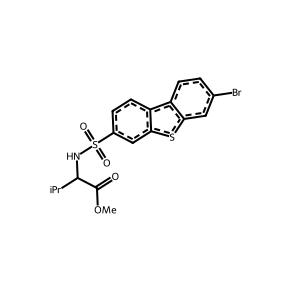 COC(=O)C(NS(=O)(=O)c1ccc2c(c1)sc1cc(Br)ccc12)C(C)C